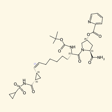 CC(C)(C)OC(=O)N[C@@H](CCCCC/C=C\[C@@H]1C[C@@H]1C(=O)NS(=O)(=O)C1CC1)C(=O)N1C[C@H](OC(=O)c2ccccn2)C[C@H]1C(N)=O